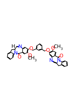 COc1cc2c(cc1OCc1cccc(COc3cc4c(cc3OC)C(=O)N3c5ccccc5C[C@H]3C=N4)c1)N=C=C1Cc3ccccc3N1C2=O